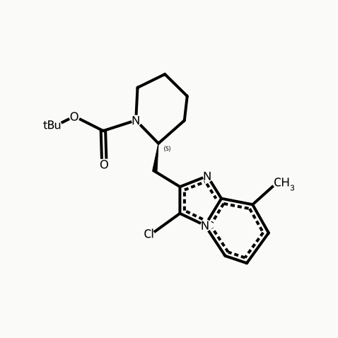 Cc1cccn2c(Cl)c(C[C@@H]3CCCCN3C(=O)OC(C)(C)C)nc12